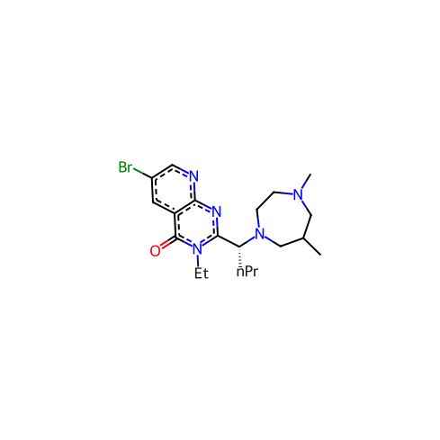 CCC[C@H](c1nc2ncc(Br)cc2c(=O)n1CC)N1CCN(C)CC(C)C1